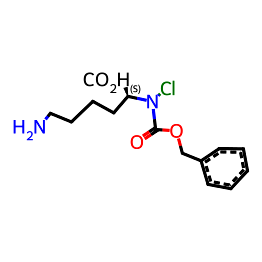 NCCCC[C@@H](C(=O)O)N(Cl)C(=O)OCc1ccccc1